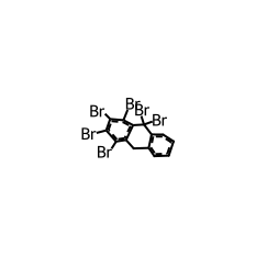 Brc1c(Br)c(Br)c2c(c1Br)Cc1ccccc1C2(Br)Br